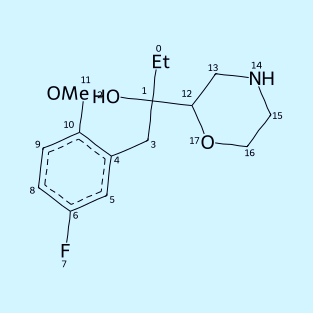 CCC(O)(Cc1cc(F)ccc1OC)C1CNCCO1